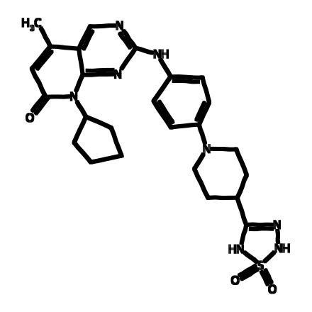 Cc1cc(=O)n(C2CCCC2)c2nc(Nc3ccc(N4CCC(C5=NNS(=O)(=O)N5)CC4)cc3)ncc12